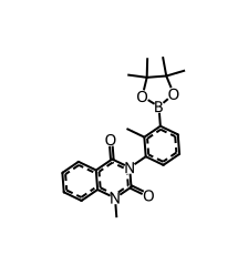 Cc1c(B2OC(C)(C)C(C)(C)O2)cccc1-n1c(=O)c2ccccc2n(C)c1=O